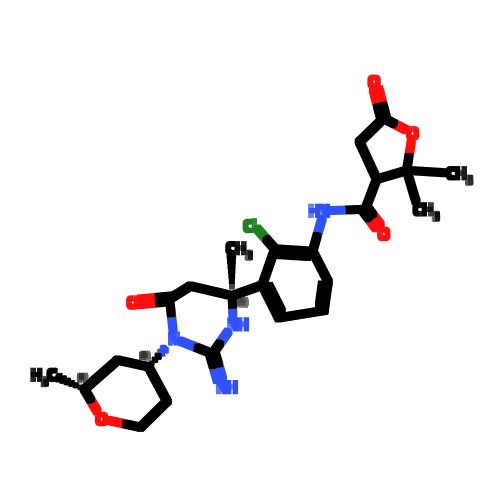 C[C@@H]1C[C@H](N2C(=N)N[C@](C)(c3cccc(NC(=O)C4CC(=O)OC4(C)C)c3Cl)CC2=O)CCO1